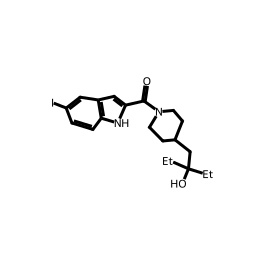 CCC(O)(CC)CC1CCN(C(=O)c2cc3cc(I)ccc3[nH]2)CC1